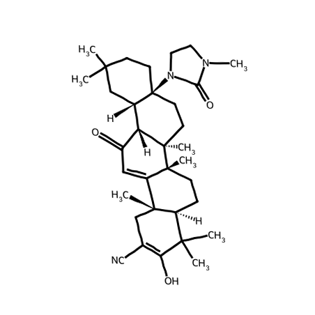 CN1CCN([C@]23CCC(C)(C)C[C@H]2[C@H]2C(=O)C=C4[C@@]5(C)CC(C#N)=C(O)C(C)(C)[C@@H]5CC[C@@]4(C)[C@]2(C)CC3)C1=O